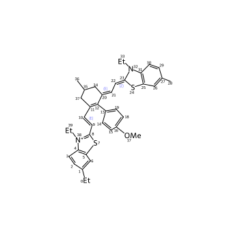 CCc1ccc2c(c1)sc(/C=C/C1=C(c3ccc(OC)cc3)C(=C/C=C3\Sc4cc(C)ccc4N3CC)/CC(C)C1)[n+]2CC